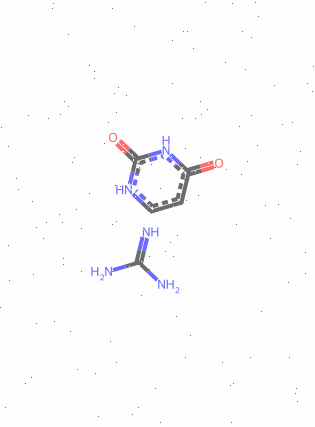 N=C(N)N.O=c1cc[nH]c(=O)[nH]1